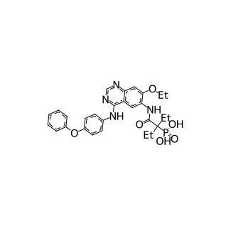 CCOc1cc2ncnc(Nc3ccc(Oc4ccccc4)cc3)c2cc1NC(=O)C(CC)(CC)P(=O)(O)O